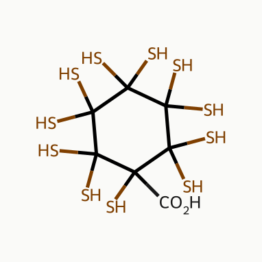 O=C(O)C1(S)C(S)(S)C(S)(S)C(S)(S)C(S)(S)C1(S)S